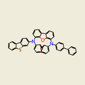 c1ccc(-c2ccc(N(c3ccccc3)c3cccc4c3oc3c(N(c5ccccc5)c5ccc6c(c5)sc5ccccc56)cccc34)cc2)cc1